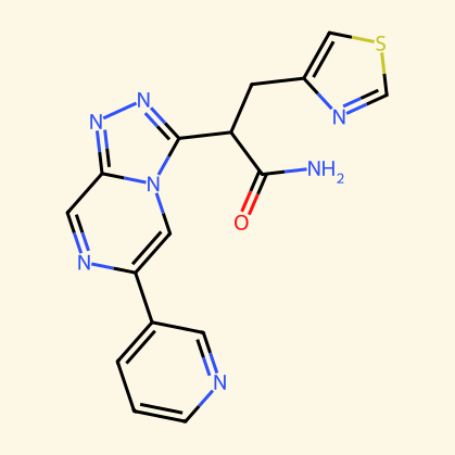 NC(=O)C(Cc1cscn1)c1nnc2cnc(-c3cccnc3)cn12